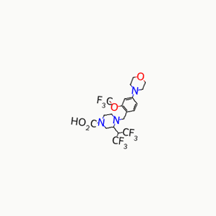 O=C(O)N1CCN(Cc2ccc(N3CCOCC3)cc2OC(F)(F)F)C(C(C(F)(F)F)C(F)(F)F)C1